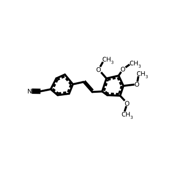 COc1cc(C=Cc2ccc(C#N)cc2)c(OC)c(OC)c1OC